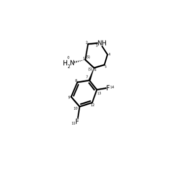 N[C@@H]1CNCC[C@H]1c1ccc(F)cc1F